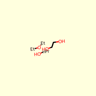 CCCO.CCOCC.OCCO